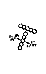 CC(C)[Si](C#Cc1c2cc3ccccc3cc2c(C#C[Si](C(C)C)(C(C)C)C(C)C)c2cc3ccccc3cc12)(C(C)C)C(C)C.c1ccc2cc3cc4cc5ccccc5cc4cc3cc2c1